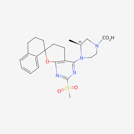 C[C@H]1CN(C(=O)O)CCN1c1nc(S(C)(=O)=O)nc2c1CCC1(CCCc3ccccc31)O2